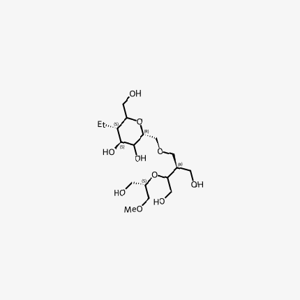 CC[C@@H]1C(CO)O[C@H](COC[C@@H](CO)C(CO)O[C@@H](CO)COC)C(O)[C@H]1O